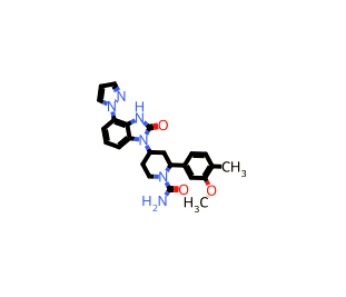 COc1cc(C2CC(n3c(=O)[nH]c4c(-n5cccn5)cccc43)CCN2C(N)=O)ccc1C